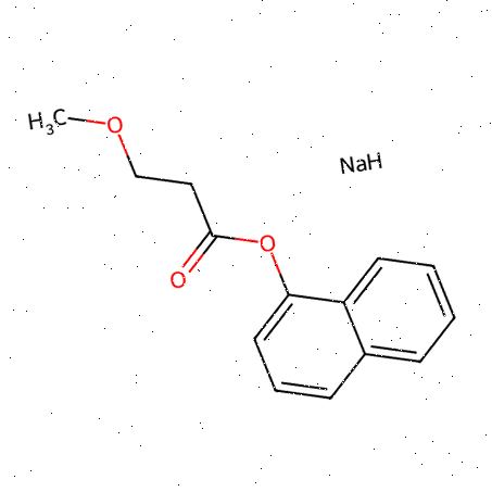 COCCC(=O)Oc1cccc2ccccc12.[NaH]